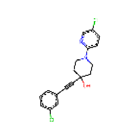 OC1(C#Cc2cccc(Cl)c2)CCN(c2ccc(Cl)cn2)CC1